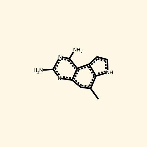 Cc1cc2nc(N)nc(N)c2c2cc[nH]c12